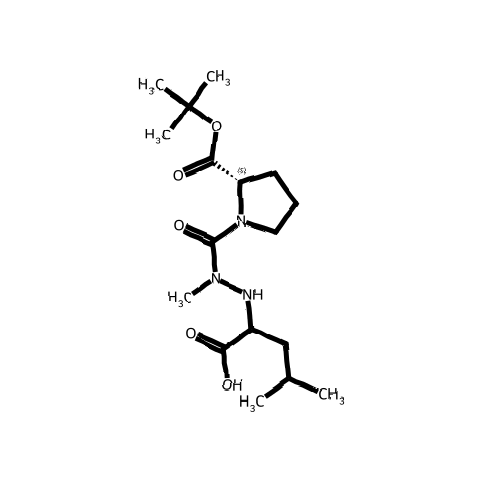 CC(C)CC(NN(C)C(=O)N1CCC[C@H]1C(=O)OC(C)(C)C)C(=O)O